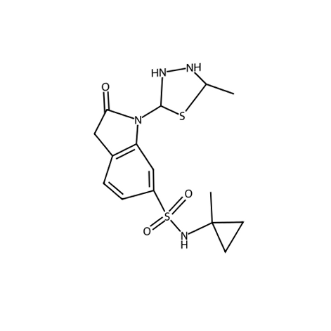 CC1NNC(N2C(=O)Cc3ccc(S(=O)(=O)NC4(C)CC4)cc32)S1